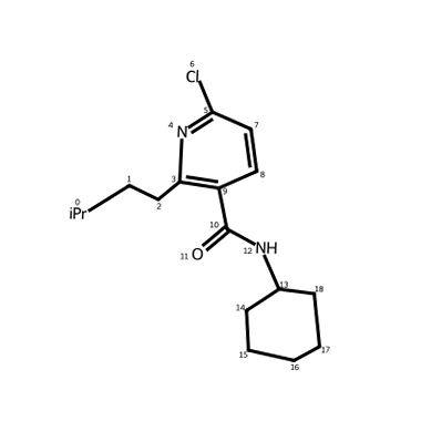 CC(C)CCc1nc(Cl)ccc1C(=O)NC1CCCCC1